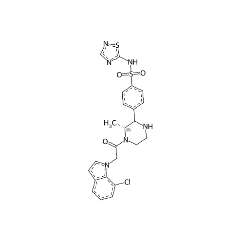 C[C@@H]1C(c2ccc(S(=O)(=O)Nc3ncns3)cc2)NCCN1C(=O)Cn1ccc2cccc(Cl)c21